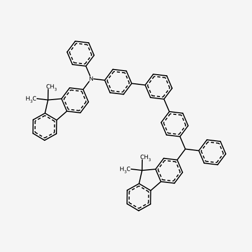 CC1(C)c2ccccc2-c2ccc(C(c3ccccc3)c3ccc(-c4cccc(-c5ccc(N(c6ccccc6)c6ccc7c(c6)C(C)(C)c6ccccc6-7)cc5)c4)cc3)cc21